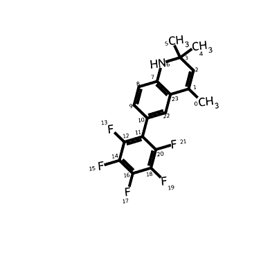 CC1=CC(C)(C)Nc2ccc(-c3c(F)c(F)c(F)c(F)c3F)cc21